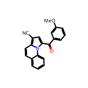 COc1cccc(C(=O)c2cc(C#N)c3ccc4ccccc4n23)c1